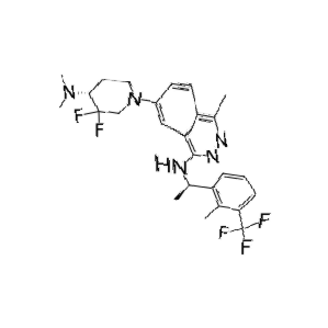 Cc1c([C@@H](C)Nc2nnc(C)c3ccc(N4CC[C@@H](N(C)C)C(F)(F)C4)cc23)cccc1C(F)(F)F